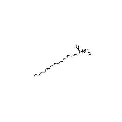 CCCCC/C=C/C/C=C/C/C=C/C/C=C/CCCC(N)=O